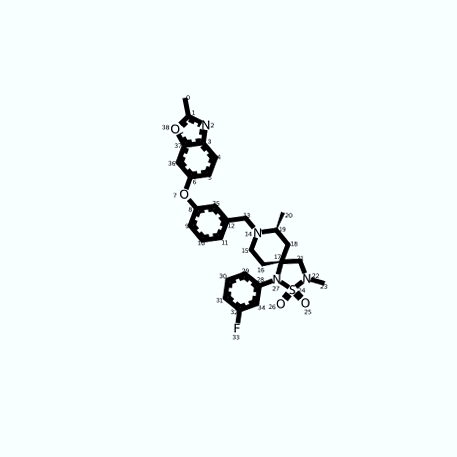 Cc1nc2ccc(Oc3cccc(CN4CC[C@@]5(C[C@@H]4C)CN(C)S(=O)(=O)N5c4cccc(F)c4)c3)cc2o1